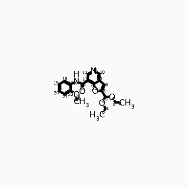 CCOC(OCC)c1cc2cncc(C(=O)Nc3ccccc3OC)c2o1